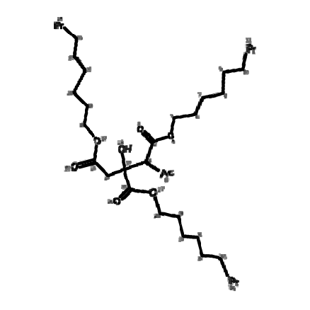 CC(=O)C(C(=O)OCCCCCCC(C)C)C(O)(CC(=O)OCCCCCCC(C)C)C(=O)OCCCCCCC(C)C